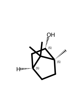 CC1(C)[C@H]2CC[C@]1(C)[C@@H](O)C2